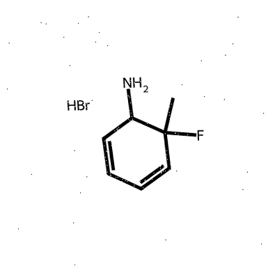 Br.CC1(F)C=CC=CC1N